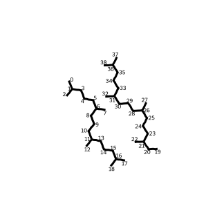 CC(C)CCCC(C)CCCC(C)CCCC(C)C.CCC(C)CCCC(C)CCCC(C)CCCC(C)C